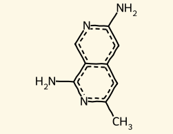 Cc1cc2cc(N)ncc2c(N)n1